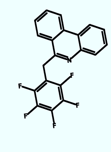 Fc1c(F)c(F)c(Cc2nc3ccccc3c3ccccc23)c(F)c1F